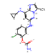 N#Cc1cnc2c(NC3CC3)cc(Nc3ccc(F)c(OC(N)=O)c3)nn12